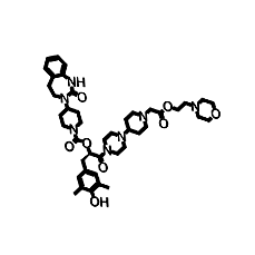 Cc1cc(C[C@@H](OC(=O)N2CCC(N3CCc4ccccc4NC3=O)CC2)C(=O)N2CCN(C3CCN(CC(=O)OCCN4CCOCC4)CC3)CC2)cc(C)c1O